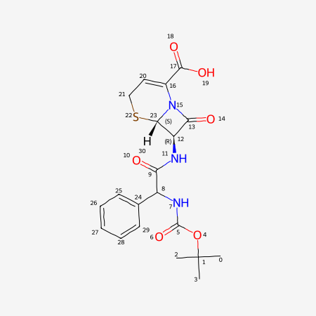 CC(C)(C)OC(=O)NC(C(=O)N[C@@H]1C(=O)N2C(C(=O)O)=CCS[C@@H]12)c1ccccc1